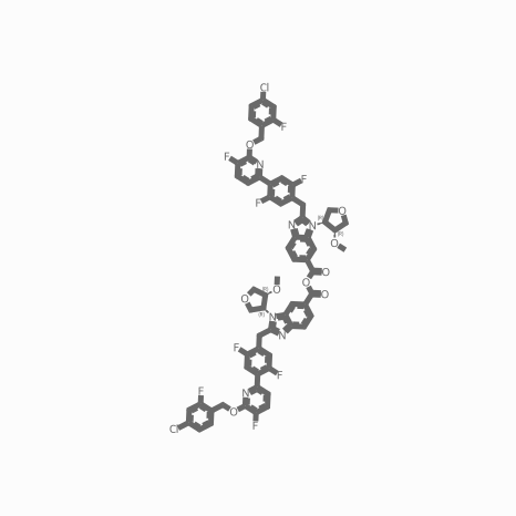 CO[C@H]1COC[C@H]1n1c(Cc2cc(F)c(-c3ccc(F)c(OCc4ccc(Cl)cc4F)n3)cc2F)nc2ccc(C(=O)OC(=O)c3ccc4nc(Cc5cc(F)c(-c6ccc(F)c(OCc7ccc(Cl)cc7F)n6)cc5F)n([C@@H]5COC[C@@H]5OC)c4c3)cc21